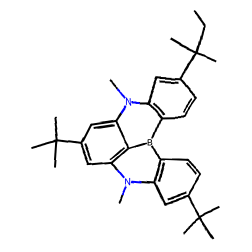 CCC(C)(C)c1ccc2c(c1)N(C)c1cc(C(C)(C)C)cc3c1B2c1ccc(C(C)(C)C)cc1N3C